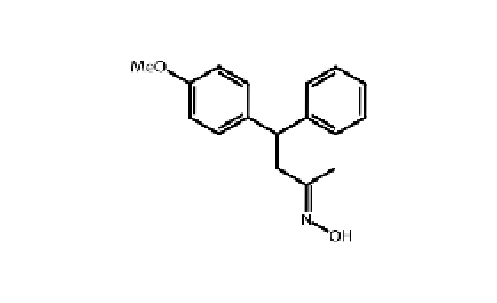 COc1ccc(C(C/C(C)=N/O)c2ccccc2)cc1